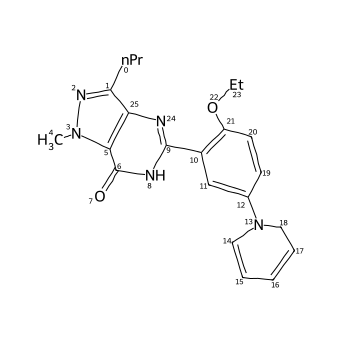 CCCc1nn(C)c2c(=O)[nH]c(-c3cc(N4C=CC=CC4)ccc3OCC)nc12